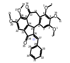 COc1cc2c(c(OC)c1OC)CC(=O)c1c(OC)c(OC)cc3c1C2/C(=C/c1ccccc1)C3=O